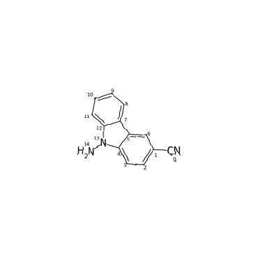 N#Cc1ccc2c(c1)c1ccccc1n2N